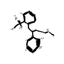 CNCCC(Cc1ccccc1C(F)(F)F)c1ccccc1